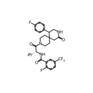 CC(C)[C@@H](NC(=O)c1cc(C(F)(F)F)ccc1F)C(=O)N1CCC2(CC1)CC(=O)NCC2c1ccc(F)cc1